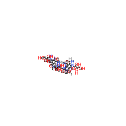 Cc1c(NC(=O)C(O)C(O)CO)c(I)c(C(=O)N(C)CC(O)CO)c(I)c1C(=O)NCCCNC(=O)c1c(I)c(NC(=O)C(O)C(O)CO)c(I)c(C(=O)N(C)CC(O)CO)c1I